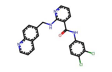 O=C(Nc1ccc(Cl)c(Cl)c1)c1cccnc1NCc1ccc2ncccc2c1